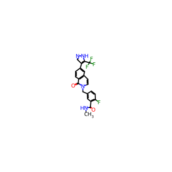 CNC(=O)c1cc(Cn2ccc3cc(-c4cn[nH]c4C(F)(F)F)ccc3c2=O)ccc1F